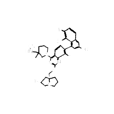 CCc1c(F)ccc2cc(O)cc(-c3ccc4c(N5CCCC(C)(NC#N)C5)nc(OC[C@@]56CCCN5C[C@H](F)C6)nc4c3F)c12